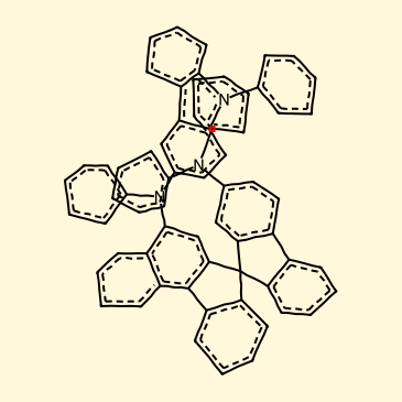 c1ccc(N(c2ccccc2)c2ccc3c(c2)C2(c4ccccc4-3)c3ccccc3-c3c2cc(N(c2ccccc2)c2ccc4c(c2)c2ccccc2n4-c2ccccc2)c2ccccc32)cc1